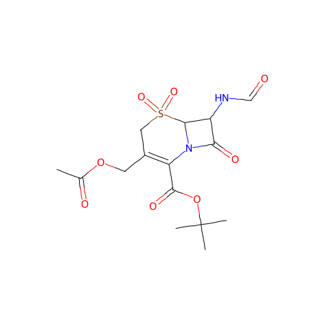 CC(=O)OCC1=C(C(=O)OC(C)(C)C)N2C(=O)C(NC=O)C2S(=O)(=O)C1